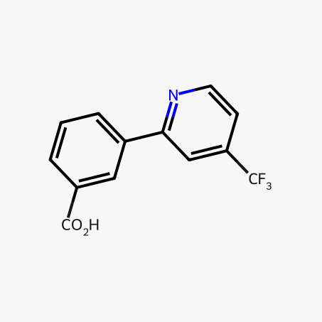 O=C(O)c1cccc(-c2cc(C(F)(F)F)ccn2)c1